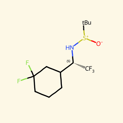 CC(C)(C)[S+]([O-])N[C@@H](C1CCCC(F)(F)C1)C(F)(F)F